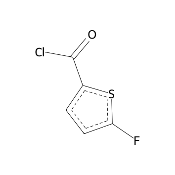 O=C(Cl)c1ccc(F)s1